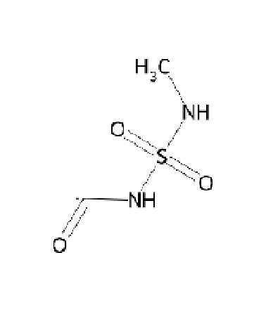 CNS(=O)(=O)N[C]=O